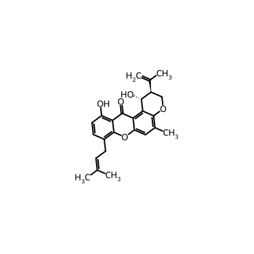 C=C(C)[C@H]1COc2c(C)cc3oc4c(CC=C(C)C)ccc(O)c4c(=O)c3c2[C@@H]1O